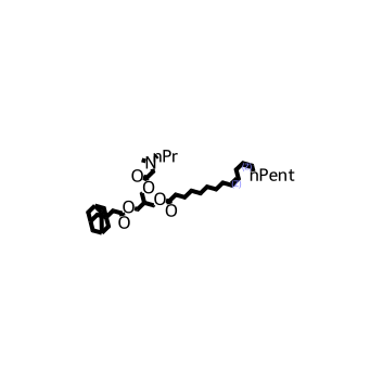 CCCCC/C=C\C/C=C\CCCCCCCC(=O)OCC(COC(=O)CN(C)CCC)COC(=O)CC12CC3CC(CC(C3)C1)C2